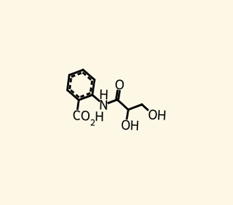 O=C(O)c1ccccc1NC(=O)C(O)CO